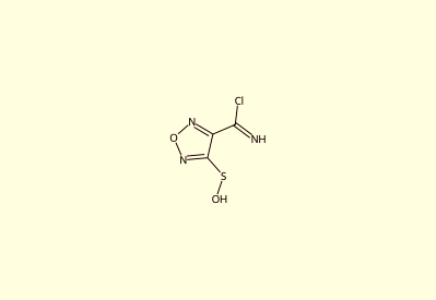 N=C(Cl)c1nonc1SO